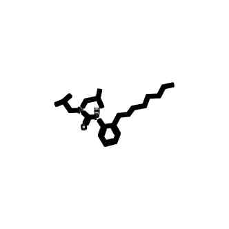 CCCCCCCCc1ccccc1PC(=O)N(CC(C)C)CC(C)C